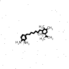 C=C(CCCCCc1ccc(N)c(N)c1)CC1C[C@H](C(=C)C)CC(C)C1C